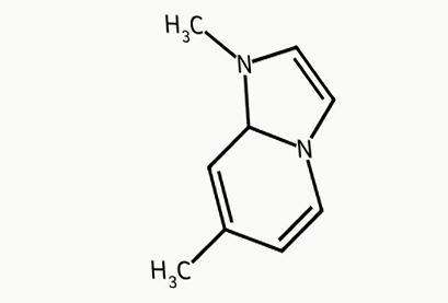 CC1=CC2N(C)C=CN2C=C1